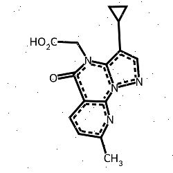 Cc1ccc2c(=O)n(CC(=O)O)c3c(C4CC4)cnn3c2n1